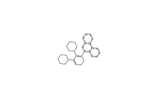 [CH]1CC=C(C2CCCCC2)C(C2CCCCC2)=C1c1cc2ccccc2c2ccccc12